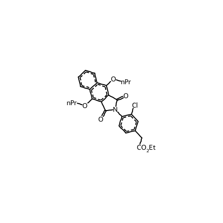 CCCOc1c2c(c(OCCC)c3ccccc13)C(=O)N(c1ccc(CC(=O)OCC)cc1Cl)C2=O